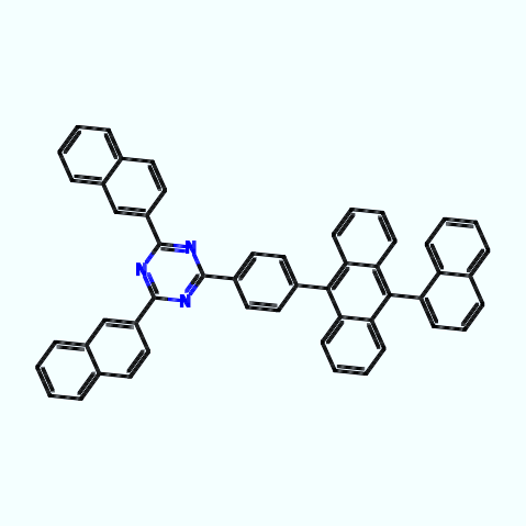 c1ccc2cc(-c3nc(-c4ccc(-c5c6ccccc6c(-c6cccc7ccccc67)c6ccccc56)cc4)nc(-c4ccc5ccccc5c4)n3)ccc2c1